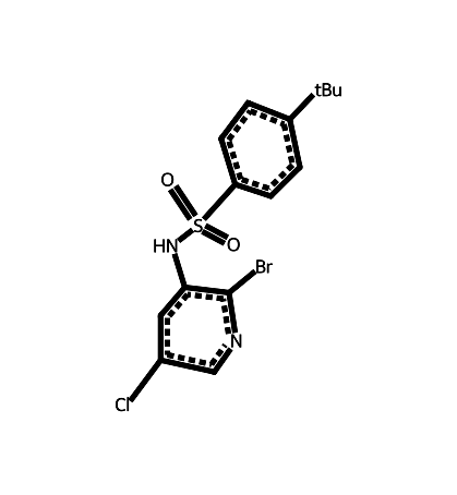 CC(C)(C)c1ccc(S(=O)(=O)Nc2cc(Cl)cnc2Br)cc1